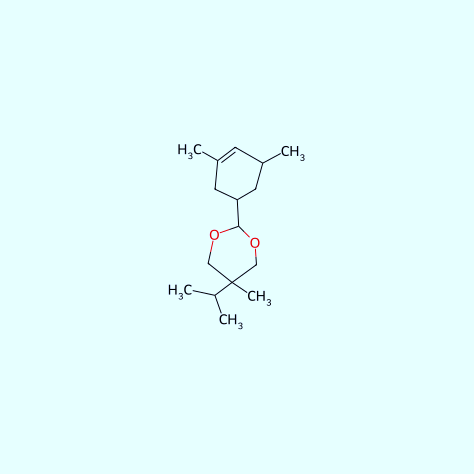 CC1=CC(C)CC(C2OCC(C)(C(C)C)CO2)C1